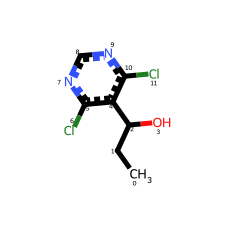 CCC(O)c1c(Cl)ncnc1Cl